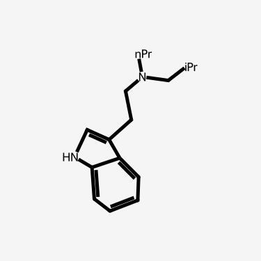 CCCN(CCc1c[nH]c2ccccc12)CC(C)C